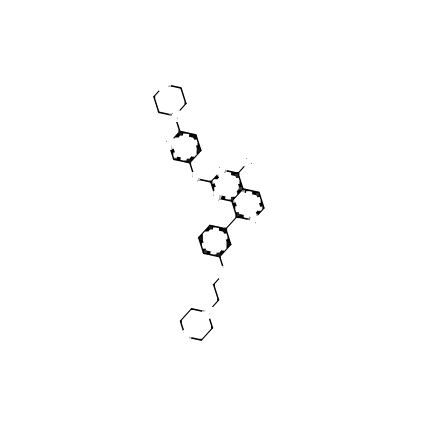 Nc1nc(Nc2ccc(N3CCOCC3)nc2)nc2c(-c3cccc(OCCN4CCOCC4)c3)nccc12